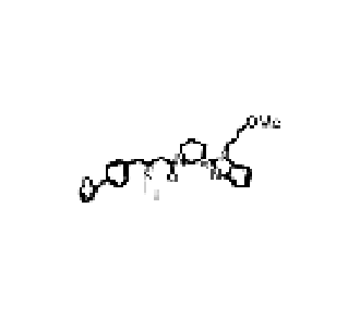 COCCCn1c([C@@H]2CCCN(C(=O)C[C@H](N)Cc3ccc(-c4ccco4)cc3)C2)nc2ccccc21